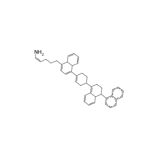 N/C=C\CCCC1=CC=C(C2=CCC(C3=C4C=CC=CC4C(c4cccc5ccccc45)CC3)CC2)C2C=CC=CC12